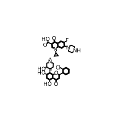 CN1CC[C@@H](c2c(O)cc(O)c3c(=O)cc(-c4ccccc4Cl)oc23)[C@@H](O)C1.O=C(O)c1cn(C2CC2)c2cc(N3CCNCC3)c(F)cc2c1=O